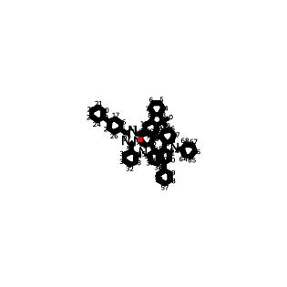 CC1(C)c2ccccc2-c2cc(-c3nc(-c4ccc(-c5ccccc5)cc4)nc(-c4ccccc4-n4c5ccccc5c5c(-c6cccc7c6c6ccc(-c8ccccc8)cc6n7-c6ccccc6)cccc54)n3)ccc21